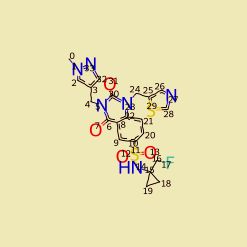 Cn1cc(Cn2c(=O)c3cc(S(=O)(=O)NC4(CF)CC4)ccc3n(Cc3cncs3)c2=O)cn1